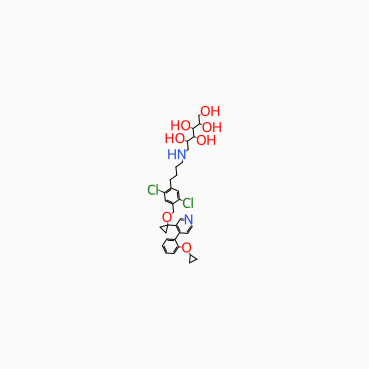 OCC(O)C(O)C(O)C(O)CNCCCCc1cc(Cl)c(COC2(c3cnccc3-c3ccccc3OC3CC3)CC2)cc1Cl